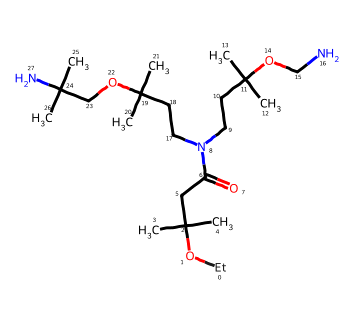 CCOC(C)(C)CC(=O)N(CCC(C)(C)OCN)CCC(C)(C)OCC(C)(C)N